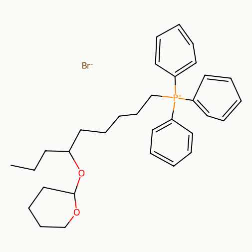 CCCC(CCCCC[P+](c1ccccc1)(c1ccccc1)c1ccccc1)OC1CCCCO1.[Br-]